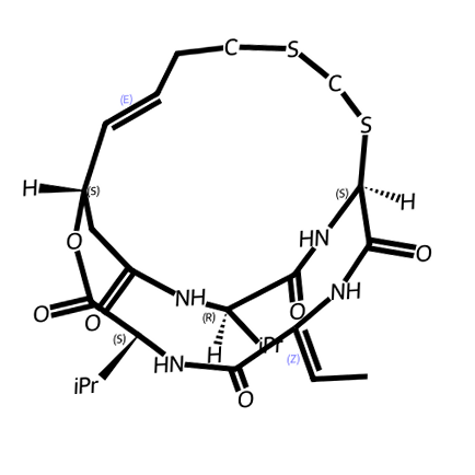 C/C=C1\NC(=O)[C@H]2NC(=O)[C@@H](C(C)C)NC(=O)C[C@@H](/C=C/CCSCS2)OC(=O)[C@H](C(C)C)NC1=O